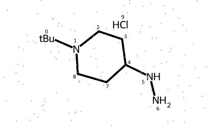 CC(C)(C)N1CCC(NN)CC1.Cl